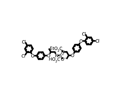 CCOC(=O)N(CC(C)Oc1ccc(Oc2ccc(Cl)cc2Cl)cc1)[S+]([O-])N(CC(C)Oc1ccc(Oc2ccc(Cl)cc2Cl)cc1)C(=O)O